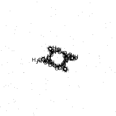 C=C1C=CN([C@@H]2O[C@@H]3COP(=O)(Oc4ccccc4)N[C@H](C)C(=O)OCC(=O)O[C@@H]4[C@@H](CO[P@](=O)(Oc5ccccc5)N[C@@H](C)C(=O)OCC(=O)O[C@H]3[C@@]2(C)F)O[C@@H](n2ccc(=O)[nH]c2=O)C4(C)F)C(=O)N1